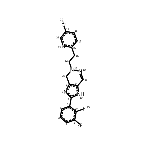 Fc1cccc(-c2nc3c([nH]2)C=NN(CCc2ccc(Br)cn2)C3)c1F